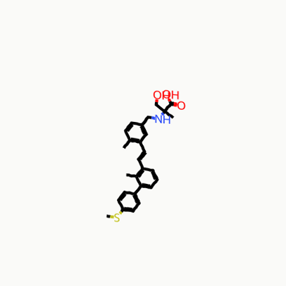 CSc1ccc(-c2cccc(C=Cc3cc(CNC(C)(CO)C(=O)O)ccc3C)c2C)cc1